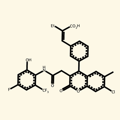 CCC(=Cc1cccc(-c2c(CC(=O)Nc3c(O)cc(F)cc3C(F)(F)F)c(=O)oc3cc(Cl)c(C)cc23)c1)C(=O)O